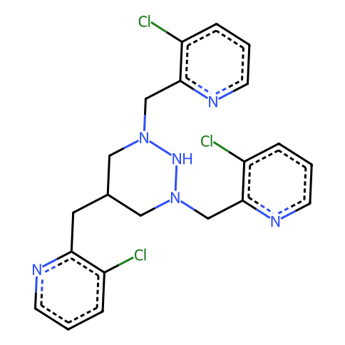 Clc1cccnc1CC1CN(Cc2ncccc2Cl)NN(Cc2ncccc2Cl)C1